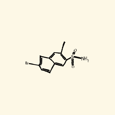 Cc1cc2cc(Br)ccc2cc1S(N)(=O)=O